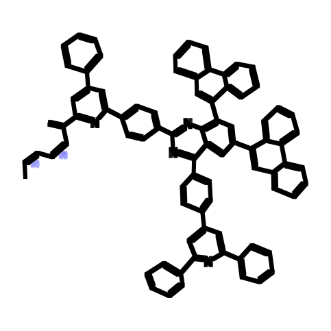 C=C(/C=C\C=C/C)c1cc(-c2ccccc2)cc(-c2ccc(-c3nc(-c4ccc(-c5cc(-c6ccccc6)nc(-c6ccccc6)c5)cc4)c4cc(-c5cc6ccccc6c6ccccc56)cc(-c5cc6ccccc6c6ccccc56)c4n3)cc2)n1